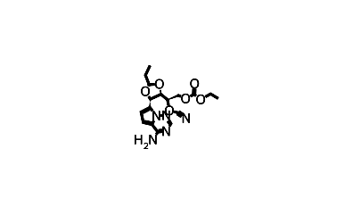 CCOC(=O)OC[C@@H](OC#N)[C@H]1OC(CC)O[C@H]1c1ccc2c(N)ncnn12